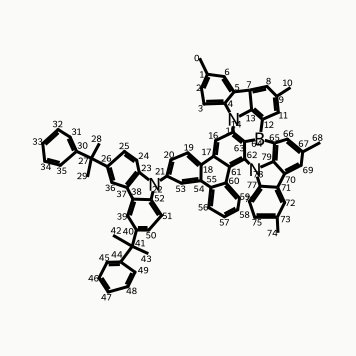 Cc1ccc2c(c1)c1cc(C)cc3c1n2-c1cc2c4ccc(-n5c6ccc(C(C)(C)c7ccccc7)cc6c6cc(C(C)(C)c7ccccc7)ccc65)cc4c4ccccc4c2c2c1B3c1cc(C)cc3c4cc(C)ccc4n-2c13